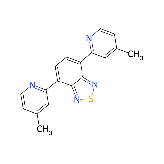 Cc1ccnc(-c2ccc(-c3cc(C)ccn3)c3nsnc23)c1